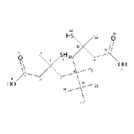 CC(S)(CC(=O)O)CC(C)(CC(C)(S)CC(=O)O)C(C)(C)C